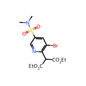 CCOC(=O)C(C(=O)OCC)c1ncc(S(=O)(=O)N(C)C)cc1Br